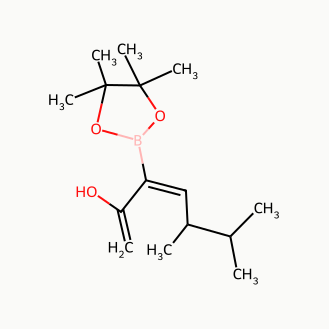 C=C(O)/C(=C\C(C)C(C)C)B1OC(C)(C)C(C)(C)O1